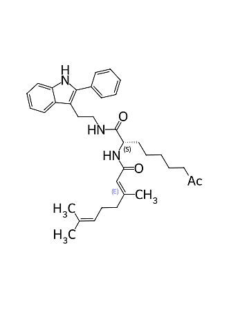 CC(=O)CCCCC[C@H](NC(=O)/C=C(\C)CCC=C(C)C)C(=O)NCCc1c(-c2ccccc2)[nH]c2ccccc12